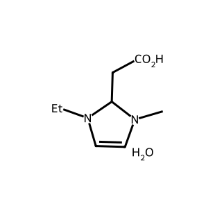 CCN1C=CN(C)C1CC(=O)O.O